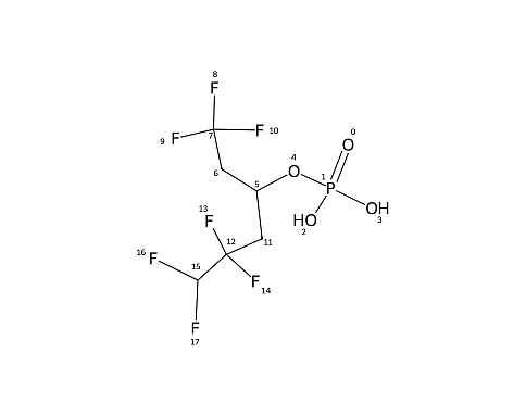 O=P(O)(O)OC(CC(F)(F)F)CC(F)(F)C(F)F